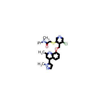 Cc1cc(-c2ccnn2C)c2cccc(OCc3c(Cl)cncc3SCC(=O)N(C)C(C)C)c2n1